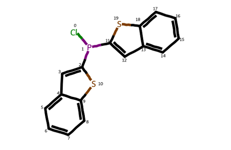 ClP(c1cc2ccccc2s1)c1cc2ccccc2s1